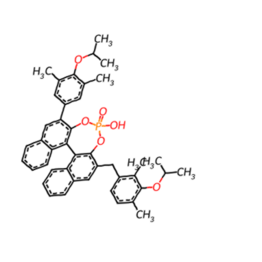 Cc1cc(-c2cc3ccccc3c3c2OP(=O)(O)Oc2c(Cc4ccc(C)c(OC(C)C)c4C)cc4ccccc4c2-3)cc(C)c1OC(C)C